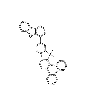 CC1(C)c2cc(-c3cccc4c3oc3ccccc34)ccc2-c2ccc3c4ccccc4c4ccccc4c3c21